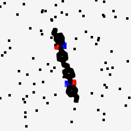 CCc1ccc2nc(-c3ccc(/C=C/c4ccc(-c5nc6ccc(CC)cc6o5)cc4)cc3)oc2c1